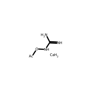 CC(=O)ONC(=N)N.[CaH2]